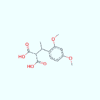 COc1ccc(C(C)C(C(=O)O)C(=O)O)c(OC)c1